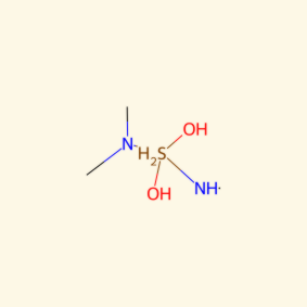 CN(C)[SH2]([NH])(O)O